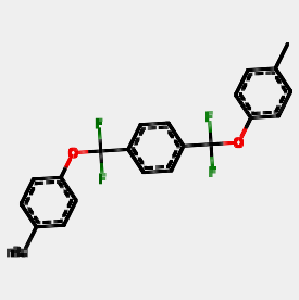 CCCCc1ccc(OC(F)(F)c2ccc(C(F)(F)Oc3ccc(C)cc3)cc2)cc1